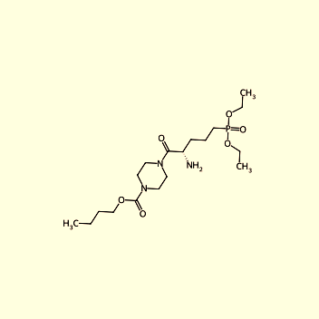 CCCCOC(=O)N1CCN(C(=O)[C@@H](N)CCCP(=O)(OCC)OCC)CC1